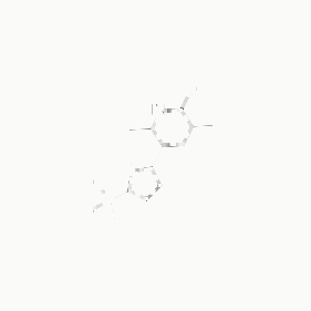 CCc1cc(-c2ccc(S(=O)(=O)Cl)o2)c(C)[nH]c1=O